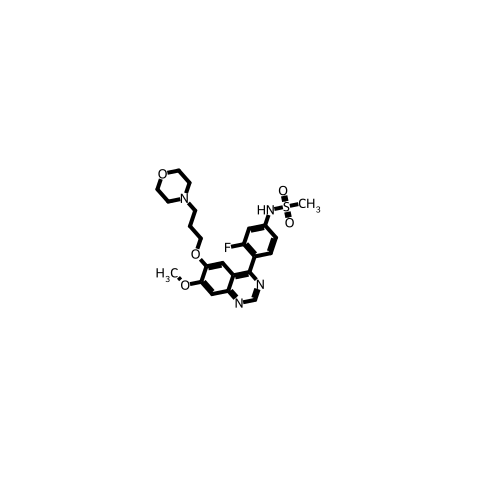 COc1cc2ncnc(-c3ccc(NS(C)(=O)=O)cc3F)c2cc1OCCCN1CCOCC1